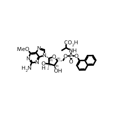 COc1nc(N)nc2c1ncn2[C@@H]1O[C@H](COP(=O)(NC(C)C(=O)O)Oc2cccc3ccccc23)[C@@H](O)[C@@]1(C)O